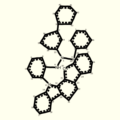 c1ccc(NN(Nc2ccccc2-n2c3ccccc3c3ccc4c5ccccc5oc4c32)c2cccc(-c3ccccc3)c2)cc1